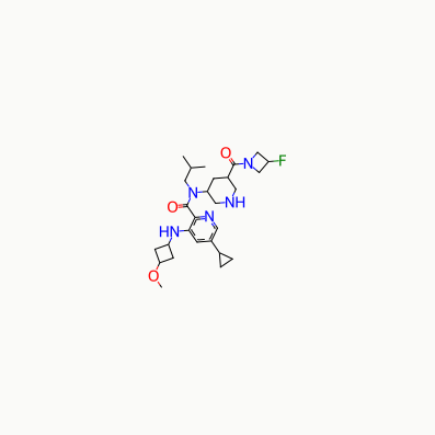 COC1CC(Nc2cc(C3CC3)cnc2C(=O)N(CC(C)C)C2CNCC(C(=O)N3CC(F)C3)C2)C1